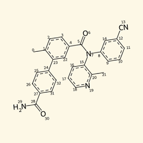 Cc1ccc(C(=O)N(c2cccc(C#N)c2)c2cccnc2C)cc1-c1ccc(C(N)=O)cc1